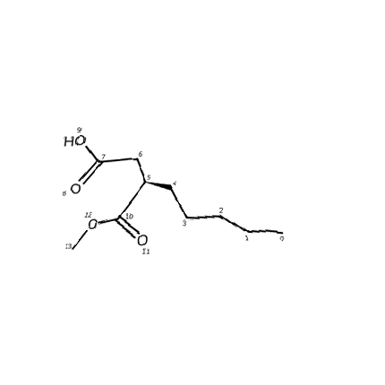 CCCCC[C@H](CC(=O)O)C(=O)OC